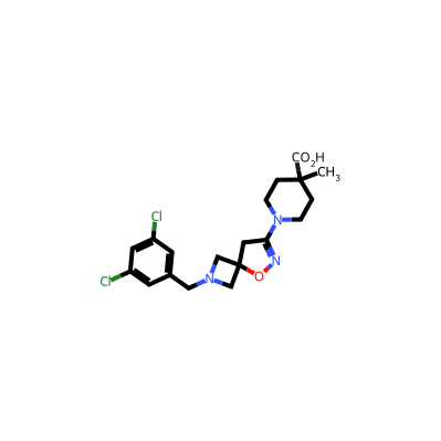 CC1(C(=O)O)CCN(C2=NOC3(C2)CN(Cc2cc(Cl)cc(Cl)c2)C3)CC1